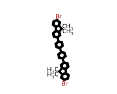 CC1(C)c2cc(Br)ccc2-c2ccc(-c3ccc(-c4ccc(-c5ccc6c(c5)C(C)(C)c5cc(Br)ccc5-6)cc4)cc3)cc21